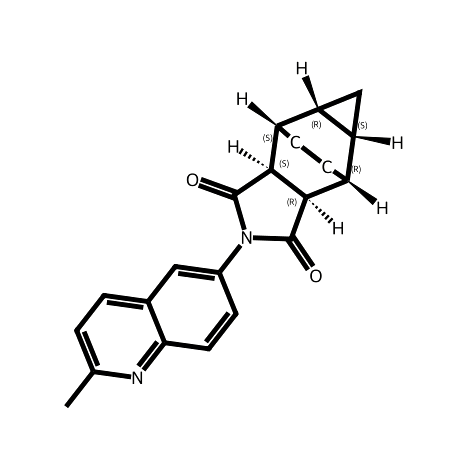 Cc1ccc2cc(N3C(=O)[C@@H]4[C@@H]5CC[C@@H]([C@@H]6C[C@@H]65)[C@@H]4C3=O)ccc2n1